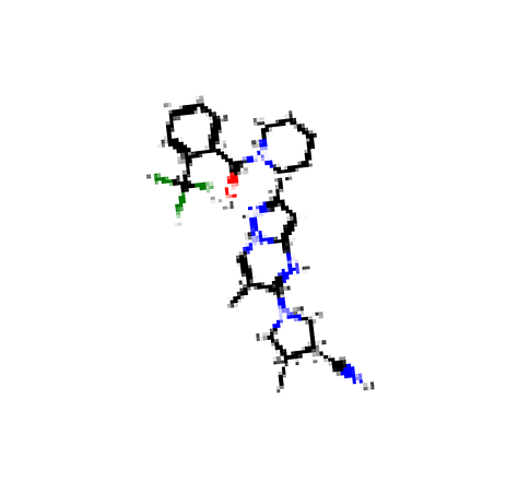 Cc1cn2nc([C@@H]3CCCCN3C(=O)c3ccccc3C(F)(F)F)cc2nc1N1C[C@@H](C#N)[C@@H](C)C1